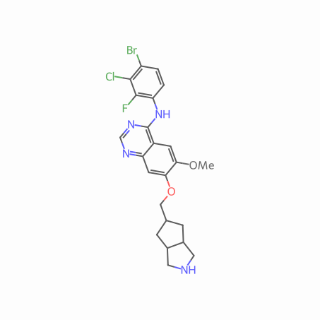 COc1cc2c(Nc3ccc(Br)c(Cl)c3F)ncnc2cc1OCC1CC2CNCC2C1